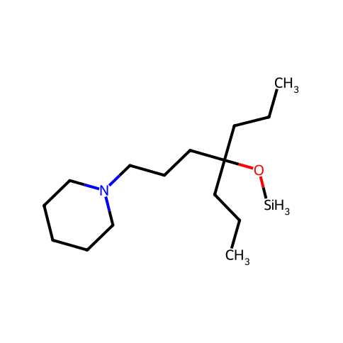 CCCC(CCC)(CCCN1CCCCC1)O[SiH3]